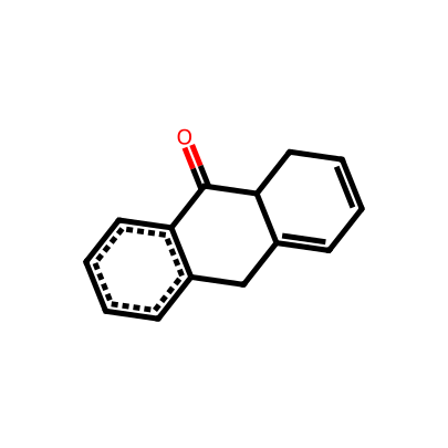 O=C1c2ccccc2CC2=CC=CCC12